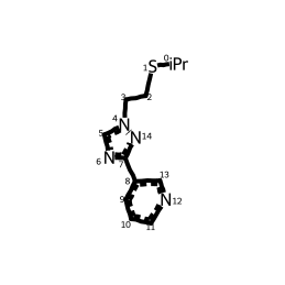 CC(C)SCCn1cnc(-c2cccnc2)n1